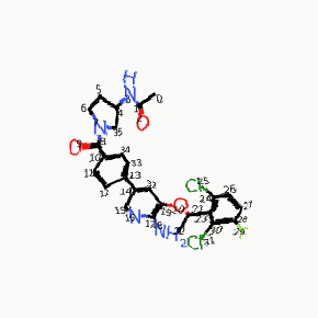 CC(=O)NC1CCN(C(=O)c2ccc(-c3cnc(N)c(OC(C)c4c(Cl)ccc(F)c4Cl)c3)cc2)C1